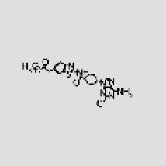 COC(=O)Cc1ccc2nc(NC(=O)C3CCC(n4cnc5c(N)nc(Cl)nc54)CC3)sc2c1